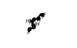 Fc1cccc(-c2cccc3[nH]c(-c4n[nH]c5ccc(-c6cncc(CN7CCC(F)(F)C7)c6)cc45)cc23)c1